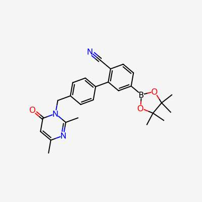 Cc1cc(=O)n(Cc2ccc(-c3cc(B4OC(C)(C)C(C)(C)O4)ccc3C#N)cc2)c(C)n1